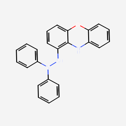 c1ccc(N(Nc2cccc3c2Nc2ccccc2O3)c2ccccc2)cc1